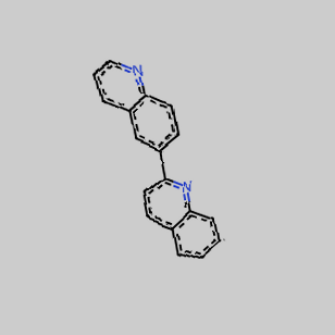 [c]1ccc2ccc(-c3ccc4ncccc4c3)nc2c1